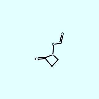 O=CON1CCC1=O